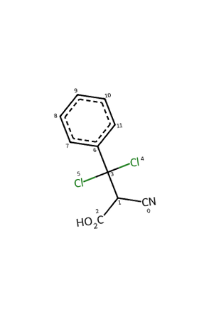 N#CC(C(=O)O)C(Cl)(Cl)c1ccccc1